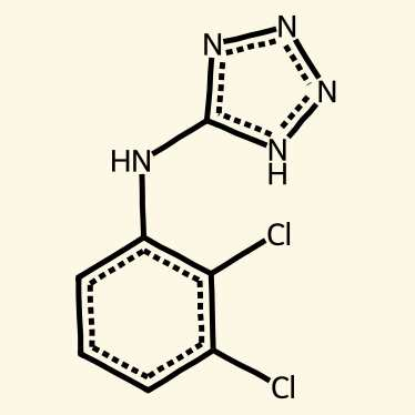 Clc1cccc(Nc2nnn[nH]2)c1Cl